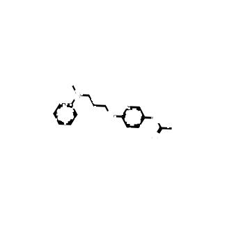 CC(=O)Oc1ccc(OCCCN(C)c2ccccc2)cc1